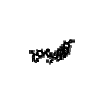 CCC(=O)N1CCN(C(=O)CC[C@@H](C)[C@H]2CC[C@H]3[C@@H]4CC=C5C[C@@H](O)CC[C@]5(C)[C@H]4CC[C@]23C)C[C@@H]1C